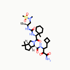 CN(C[C@@H](NC(=O)N[C@H](C(=O)N1C[C@H]2[C@H](CCC2(C)C)[C@H]1C(=O)NC(CC1CCC1)C(=O)C(N)=O)C1(C)CCCCC1)C(C)(C)C)S(C)(=O)=O